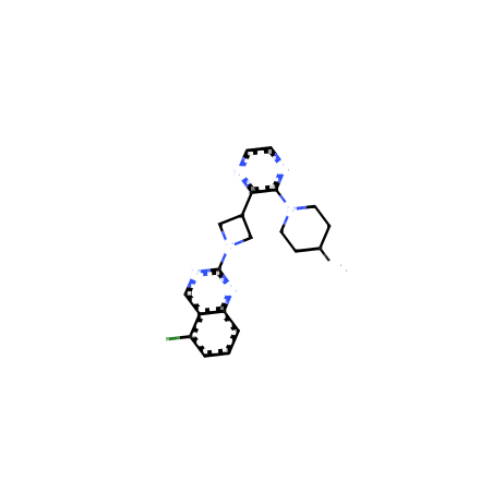 N#CC1CCN(c2nccnc2C2CN(c3ncc4c(Cl)cccc4n3)C2)CC1